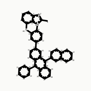 Cc1nc2cccc3c2n1-c1ccc(-c2ccc4c(-c5ccccc5)c5ccccc5c(-c5ccc6ccccc6c5)c4c2)cc1S3